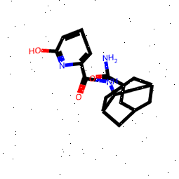 NC(=O)C12CC3CC(C1)C(NC(=O)c1cccc(O)n1)C(C3)C2